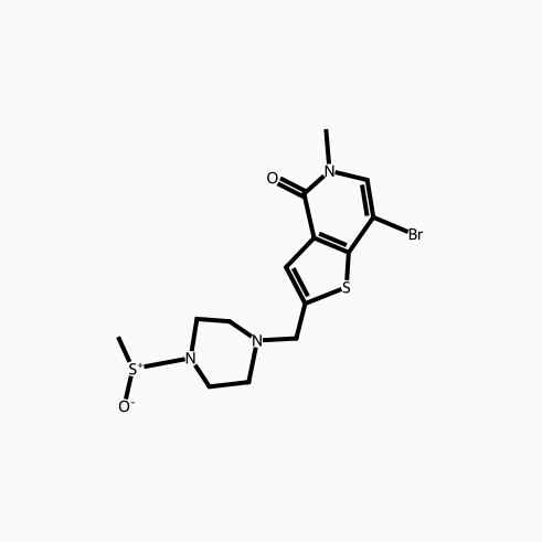 Cn1cc(Br)c2sc(CN3CCN([S+](C)[O-])CC3)cc2c1=O